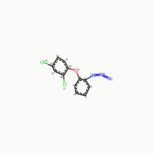 [N-]=[N+]=Nc1ccccc1Oc1ccc(Cl)cc1Cl